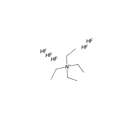 CC[N+](CC)(CC)CC.F.F.F.F.F